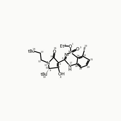 CCOP1(=O)N=C(C2=C(O)[C@H](C(C)(C)C)N(CCC(C)(C)C)C2=O)Nc2cccc(F)c21